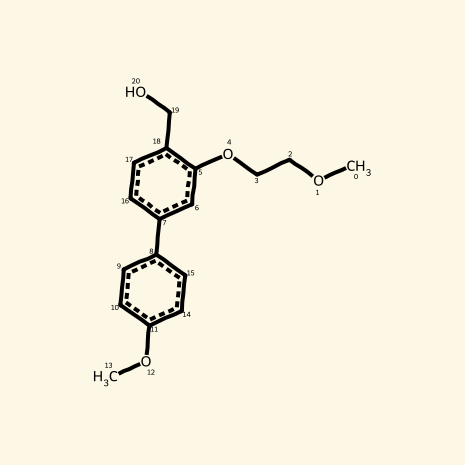 COCCOc1cc(-c2ccc(OC)cc2)ccc1CO